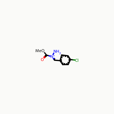 COC(=O)[N+](N)=Cc1ccc(Cl)cc1